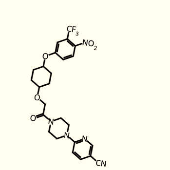 N#Cc1ccc(N2CCN(C(=O)COC3CCC(Oc4ccc([N+](=O)[O-])c(C(F)(F)F)c4)CC3)CC2)nc1